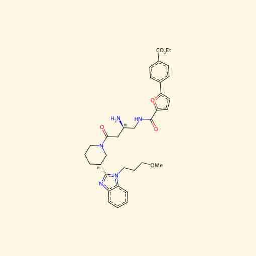 CCOC(=O)c1ccc(-c2ccc(C(=O)NC[C@H](N)CC(=O)N3CCC[C@@H](c4nc5ccccc5n4CCCOC)C3)o2)cc1